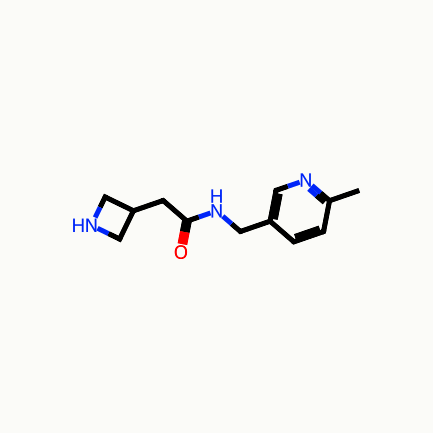 Cc1ccc(CNC(=O)CC2CNC2)cn1